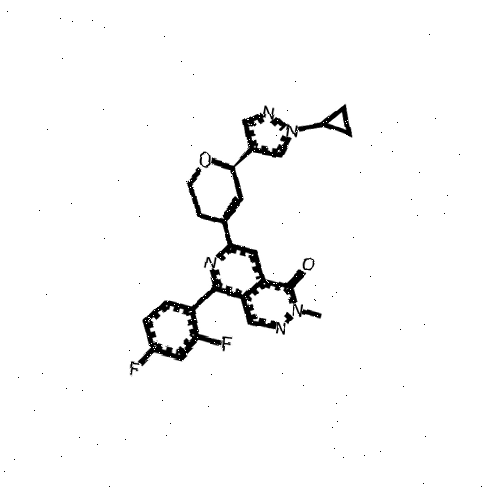 Cn1ncc2c(-c3ccc(F)cc3F)nc(C3=C[C@H](c4cnn(C5CC5)c4)OCC3)cc2c1=O